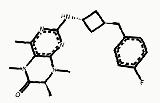 Cc1nc(N[C@H]2C[C@H](Cc3ccc(F)cc3)C2)nc2c1N(C)C(=O)[C@H](C)N2C